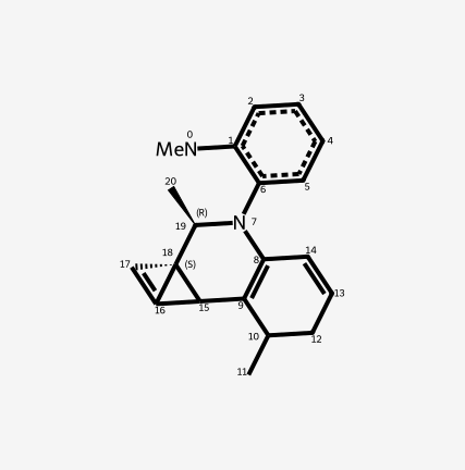 CNc1ccccc1N1C2=C(C(C)CC=C2)C2C3=C[C@@]32[C@H]1C